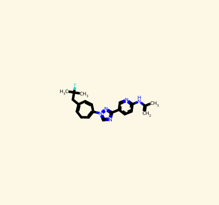 C=C(C)Nc1ccc(-c2ncn(C3=CCC=C(CC(C)(C)F)C=C3)n2)cn1